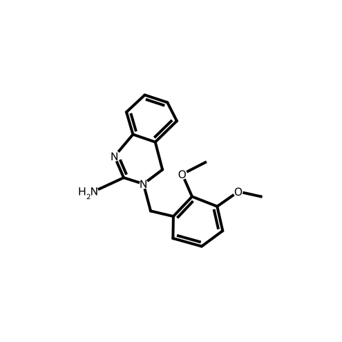 COc1cccc(CN2Cc3ccccc3N=C2N)c1OC